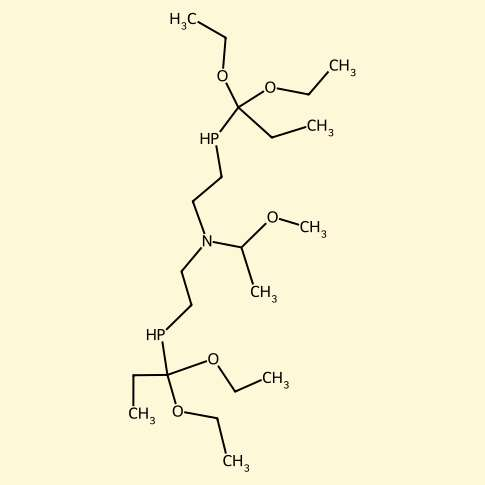 CCOC(CC)(OCC)PCCN(CCPC(CC)(OCC)OCC)C(C)OC